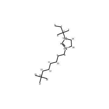 CCC(C)(C)N1C=[N+](CCCCCCC(C)(C)C)CC1